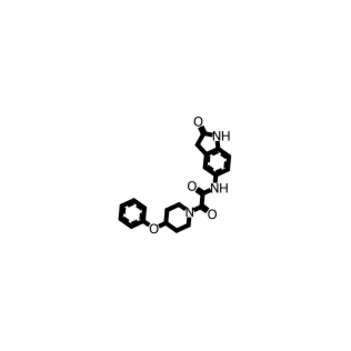 O=C1Cc2cc(NC(=O)C(=O)N3CCC(Oc4ccccc4)CC3)ccc2N1